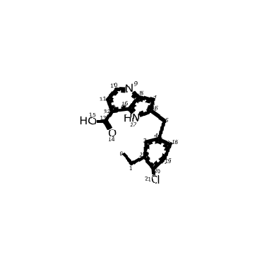 CCc1cc(Cc2cc3nccc(C(=O)O)c3[nH]2)ccc1Cl